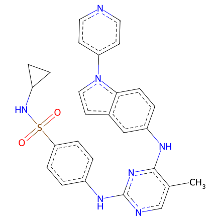 Cc1cnc(Nc2ccc(S(=O)(=O)NC3CC3)cc2)nc1Nc1ccc2c(ccn2-c2ccncc2)c1